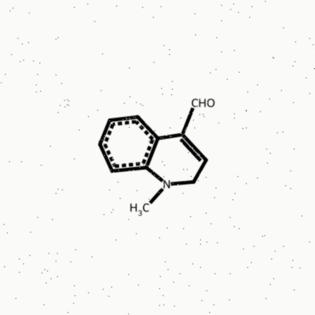 CN1CC=C(C=O)c2ccccc21